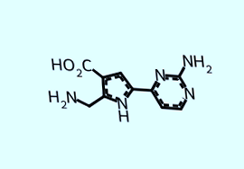 NCc1[nH]c(-c2ccnc(N)n2)cc1C(=O)O